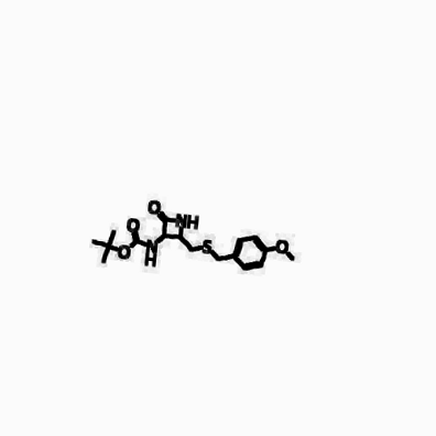 COc1ccc(CSCC2NC(=O)C2NC(=O)OC(C)(C)C)cc1